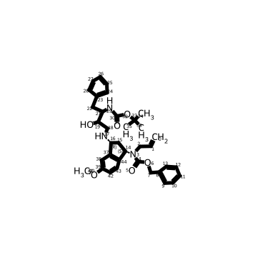 C=CCN(C(=O)OCc1ccccc1)[C@H]1C[C@@H](NCC(O)C(Cc2ccccc2)NC(=O)OC(C)(C)C)c2cc(OC)ccc21